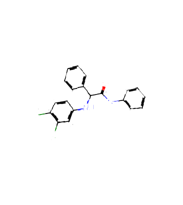 O=C(Nc1ccccc1)C(Nc1ccc(Cl)c(Cl)c1)c1ccccc1